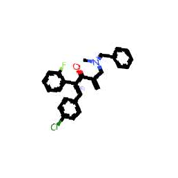 C=C(CN(C)Cc1ccccc1)C(=O)/C(=C/c1ccc(Cl)cc1)c1ccccc1F